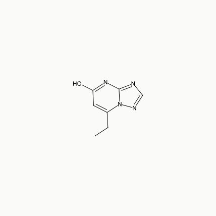 CCc1cc(O)nc2ncnn12